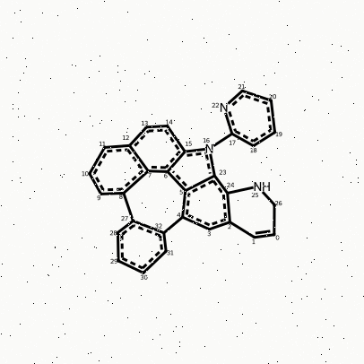 C1=Cc2cc3c4c5c6c(cccc6ccc5n(-c5ccccn5)c4c2NC1)-c1ccccc1-3